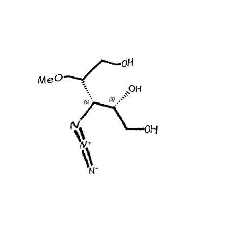 COC(CO)[C@@H](N=[N+]=[N-])[C@H](O)CO